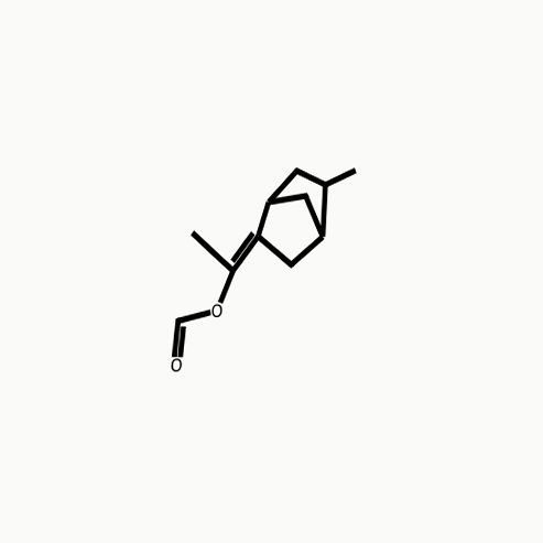 CC(OC=O)=C1CC2CC1CC2C